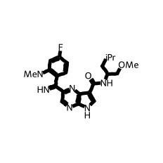 CNc1cc(F)ccc1C(=N)c1cnc2[nH]cc(C(=O)NC(COC)CC(C)C)c2n1